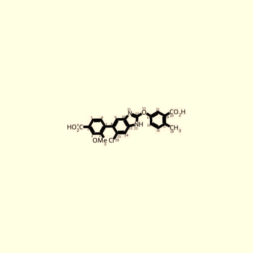 COc1cc(C(=O)O)ccc1-c1cc2nc(Oc3ccc(C)c(C(=O)O)c3)[nH]c2cc1Cl